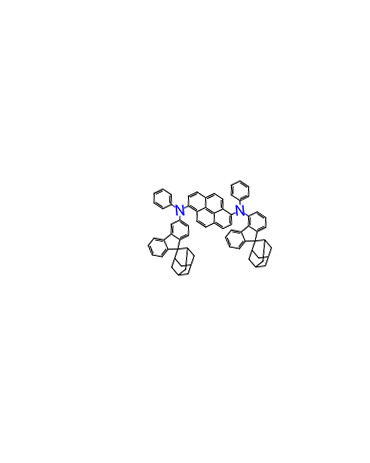 c1ccc(N(c2ccc3c(c2)-c2ccccc2C32C3CC4CC(C3)CC2C4)c2ccc3ccc4c(N(c5ccccc5)c5cccc6c5-c5ccccc5C65C6CC7CC(C6)CC5C7)ccc5ccc2c3c54)cc1